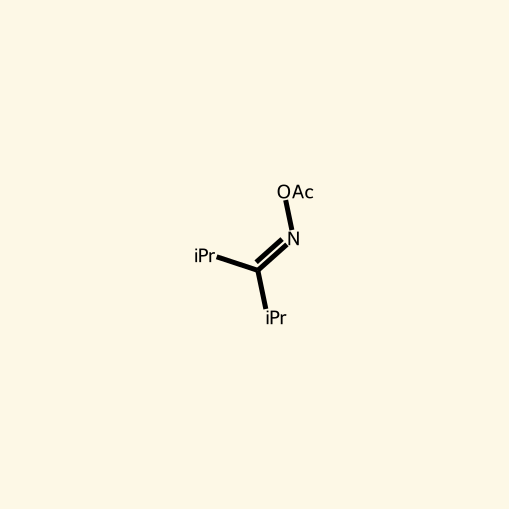 CC(=O)ON=C(C(C)C)C(C)C